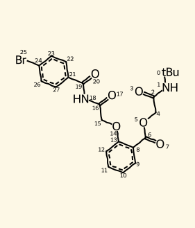 CC(C)(C)NC(=O)COC(=O)c1ccccc1OCC(=O)NC(=O)c1ccc(Br)cc1